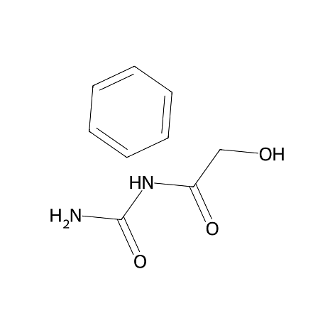 NC(=O)NC(=O)CO.c1ccccc1